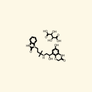 CC(C)(CCn1c(=O)[nH]c2ccccc21)NC[C@H](O)c1cc(O)cc2c1OCC(=O)N2.O=C(O)C(O)C(O)C(=O)O